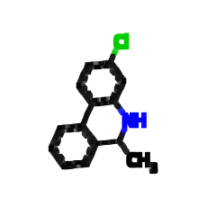 CC1Nc2cc(Cl)ccc2-c2ccccc21